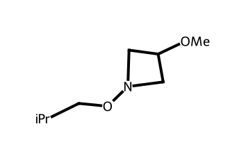 COC1CN(OCC(C)C)C1